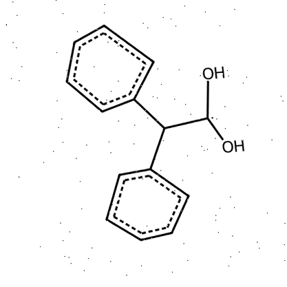 O[C](O)C(c1ccccc1)c1ccccc1